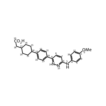 COc1ccc(Nc2ccc(-c3ccc(C4CCC(CC(=O)O)CC4)cc3)nn2)cc1